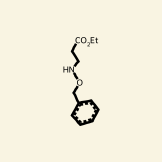 CCOC(=O)CCNOCc1ccccc1